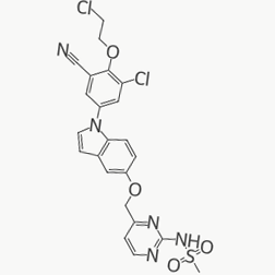 CS(=O)(=O)Nc1nccc(COc2ccc3c(ccn3-c3cc(Cl)c(OCCCl)c(C#N)c3)c2)n1